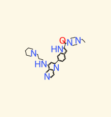 CCN1CCN(C(=O)c2cc3ccc(-c4cc(NCCCN5CCCCC5)c5cnccc5n4)cc3[nH]2)CC1